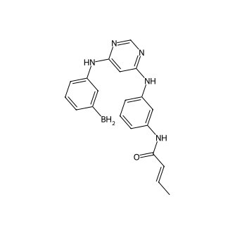 Bc1cccc(Nc2cc(Nc3cccc(NC(=O)/C=C/C)c3)ncn2)c1